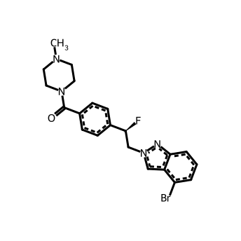 CN1CCN(C(=O)c2ccc([C@@H](F)Cn3cc4c(Br)cccc4n3)cc2)CC1